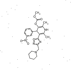 COC(=O)OC1=C(C)NC(C)=C(c2nc(CN3CCCCC3)no2)C1c1cccc([N+](=O)[O-])c1